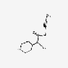 CC#CCC(=O)N(CC)C1CCNCC1